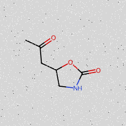 CC(=O)CC1CNC(=O)O1